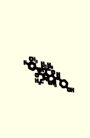 Cc1cc(NC(=O)c2c(C(C)C)c(C(=O)C(=O)NC3CCC(O)CC3)n(C)c2C)ccc1F